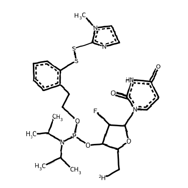 [2H]CC1OC(n2ccc(=O)[nH]c2=O)C(F)C1OP(OCCc1ccccc1SSc1nccn1C)N(C(C)C)C(C)C